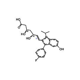 CC(C)n1c(/C=C/[C@@H](O)C[C@@H](O)CC(=O)O)c(-c2ccc(F)cc2)c2cc(O)ccc21